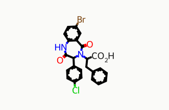 O=C(O)C(Cc1ccccc1)N1C(=O)c2cc(Br)ccc2NC(=O)C1c1ccc(Cl)cc1